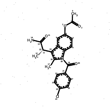 CC(=O)Oc1ccc2c(c1)c([C@H](C)C(N)=O)c(C)n2C(=O)c1ccc(Cl)cc1